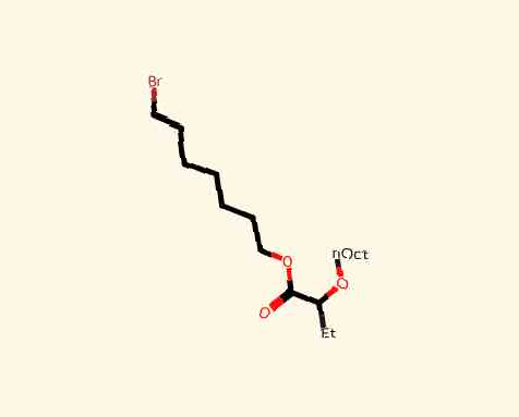 CCCCCCCCOC(CC)C(=O)OCCCCCCCBr